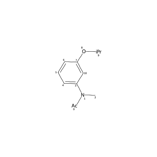 CC(=O)N(C)c1cccc(OC(C)C)c1